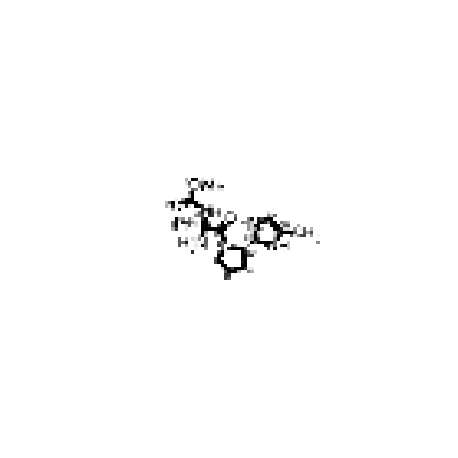 COC(=O)N[C@](N)(C(=O)N1CCC[C@H]1C1NC=C(C)N1)C(C)C